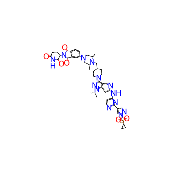 CC1CN(c2ccc3c(c2)C(=O)N(C2CCC(=O)NC2=O)C3=O)CC(C)N1CC1CCN(c2nn(C(C)C)c3cc(Nc4ccnc(-c5cnn(S(=O)(=O)C6CC6)c5)n4)ncc23)CC1